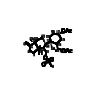 C=C1CC[C@H]2[C@H](COS(C)(=O)=O)[C@@H]([C@@]3(C)CC[C@H](OC(C)=O)C[C@@H]3COC(C)=O)CC[C@]12C